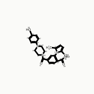 Cc1ccc(C)n1-c1cc(C(=O)N2CCN(c3ccc(O)cc3)CC2)ccc1C(=O)O